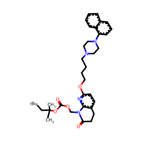 CC(C)(C)CC(C)(C)OC(=O)OCN1C(=O)CCc2ccc(OCCCCN3CCN(c4cccc5ccccc45)CC3)nc21